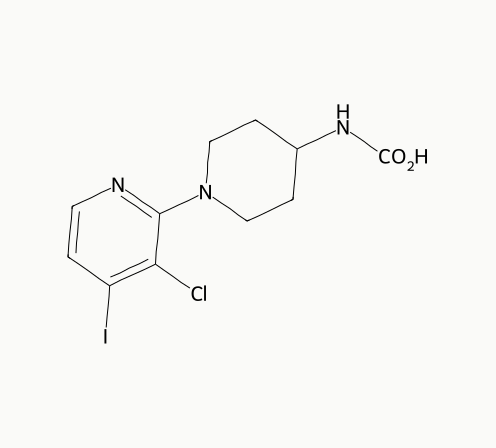 O=C(O)NC1CCN(c2nccc(I)c2Cl)CC1